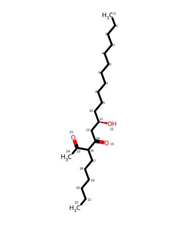 CCCCCCCCCCC[C@@H](O)CC(=O)C(CCCCCC)C(C)=O